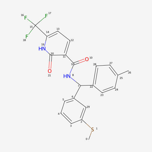 CSc1cccc(C(NC(=O)c2ccc(C(F)(F)F)[nH]c2=O)c2ccc(C)cc2)c1